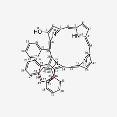 OC1=Cc2cc3ccc(cc4nc(cc5c(-c6ccccc6)c(-c6ccccc6)c(c(-c6ccccc6)c1n2)n5-c1ccccc1)C=C4)[nH]3